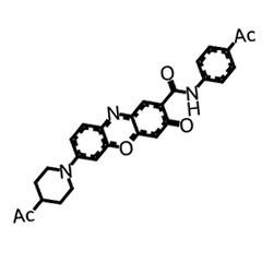 CC(=O)c1ccc(NC(=O)c2cc3nc4ccc(N5CCC(C(C)=O)CC5)cc4oc-3cc2=O)cc1